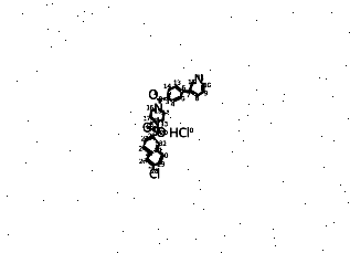 Cl.O=C(c1ccc(-c2cccnc2)cc1)N1CCN(S(=O)(=O)c2ccc3cc(Cl)ccc3c2)CC1